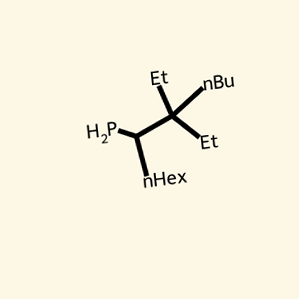 CCCCCCC(P)C(CC)(CC)CCCC